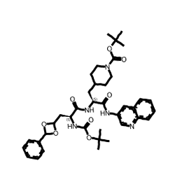 CC(C)(C)OC(=O)N[C@@H](CC1OC(c2ccccc2)O1)C(=O)N[C@@H](CC1CCN(C(=O)OC(C)(C)C)CC1)C(=O)Nc1cnc2ccccc2c1